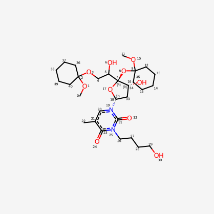 COC1(OCC(O)[C@@]2(OC3(OC)CCCCC3)O[C@@H](n3cc(C)c(=O)n(CCCCO)c3=O)C[C@H]2O)CCCCC1